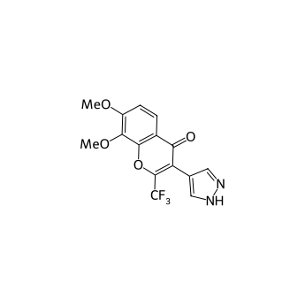 COc1ccc2c(=O)c(-c3cn[nH]c3)c(C(F)(F)F)oc2c1OC